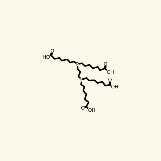 O=C(O)CCCCCCP(CCCCCCC(=O)O)CCCP(CCCCCCC(=O)O)CCCCCCC(=O)O